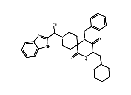 CC(c1nc2ccccc2[nH]1)N1CCC2(CC1)C(=O)NC(CC1CCCCC1)C(=O)N2Cc1ccccc1